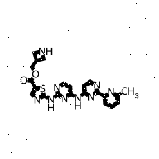 Cc1cccc(-c2nccc(Nc3ccnc(Nc4ncc(C(=O)OCC5CNC5)s4)n3)n2)n1